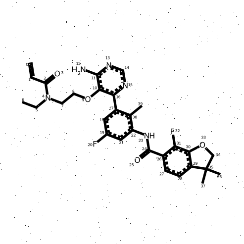 C=CC(=O)N(CC)CCOc1c(N)ncnc1-c1cc(F)cc(NC(=O)c2ccc3c(c2F)OCC3(C)C)c1C